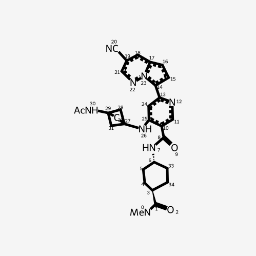 CNC(=O)[C@H]1CC[C@H](NC(=O)c2cnc(-c3ccc4cc(C#N)cnn34)cc2NC23CC(NC(C)=O)(C2)C3)CC1